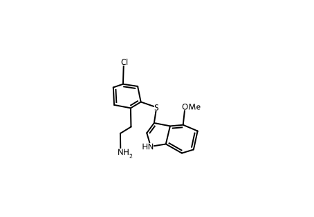 COc1cccc2[nH]cc(Sc3cc(Cl)ccc3CCN)c12